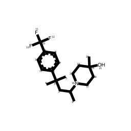 CC(CC(C)(C)c1ccc(C(F)(F)F)cc1)N1CCC(C)(O)CC1